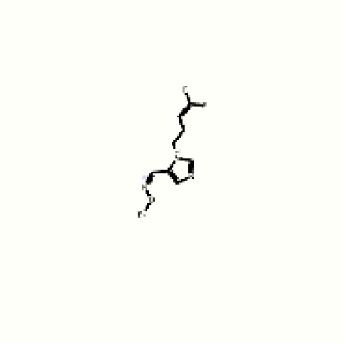 CCO/N=C\C1=CN=C[SH]1CCC=C(F)F